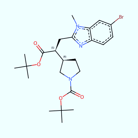 Cn1c(C[C@H](C(=O)OC(C)(C)C)[C@H]2CCN(C(=O)OC(C)(C)C)C2)nc2ccc(Br)cc21